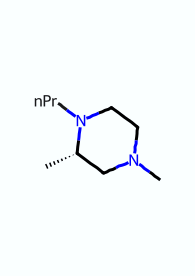 CCCN1CCN(C)C[C@@H]1C